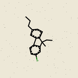 CCCc1ccc2c(c1)-c1ccc(Br)cc1C2(C)CC